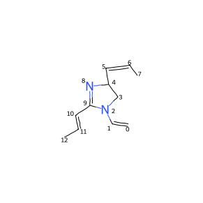 C=CN1CC(/C=C\C)N=C1/C=C/C